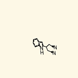 N#CCC(CC#N)c1cc2ccccc2[nH]1